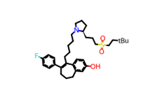 CC(C)(C)CCS(=O)(=O)CCC[C@@H]1CCCN1CCCCCC1=C(c2ccc(F)cc2)CCCc2cc(O)ccc21